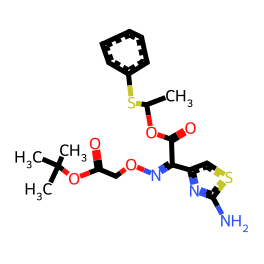 CC(OC(=O)C(=NOCC(=O)OC(C)(C)C)c1csc(N)n1)Sc1ccccc1